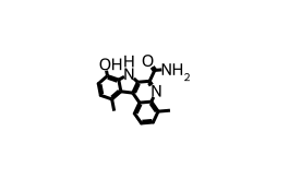 Cc1cccc2c1nc(C(N)=O)c1[nH]c3c(O)ccc(C)c3c12